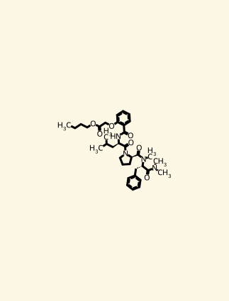 CCCCOC(=O)COc1ccccc1C(=O)N[C@H](CC(C)C)C(=O)N1CCC[C@@H]1C(=O)N(C)[C@@H](Cc1ccccc1)C(=O)N(C)C